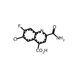 NC(=O)c1cc(C(=O)O)c2cc(Cl)c(F)cc2n1